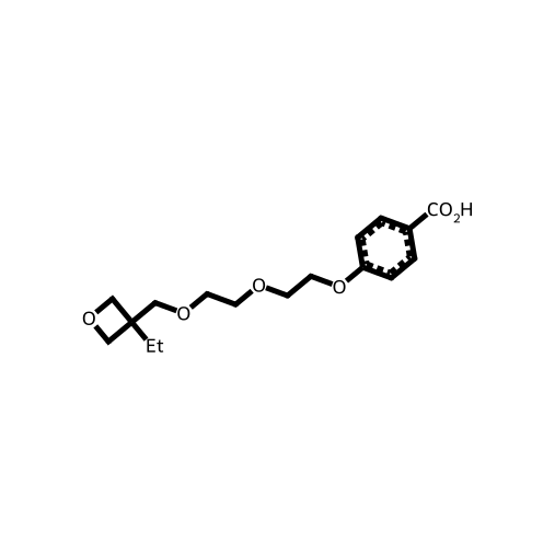 CCC1(COCCOCCOc2ccc(C(=O)O)cc2)COC1